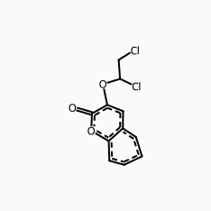 O=c1oc2ccccc2cc1OC(Cl)CCl